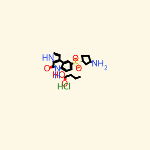 CCCC(=O)O.Cl.NC1CC[C@@H](S(=O)(=O)c2ccc3[nH]c(=O)c4[nH]ccc4c3c2)C1